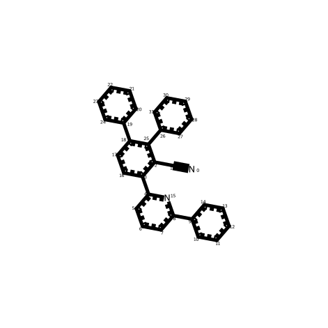 N#Cc1c(-c2cccc(-c3ccccc3)n2)ccc(-c2ccccc2)c1-c1ccccc1